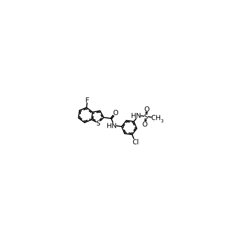 CS(=O)(=O)Nc1cc(Cl)cc(NC(=O)c2cc3c(F)cccc3s2)c1